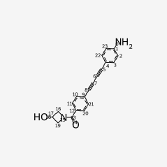 Nc1ccc(C#CC#Cc2ccc(C(=O)N3CC(O)C3)cc2)cc1